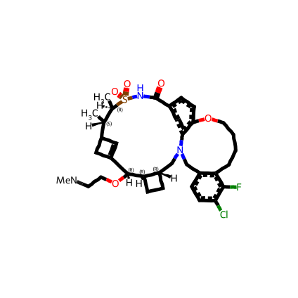 CNCCO[C@H]1C2=CC(C2)[C@H](C)[C@@H](C)S(=O)(=O)NC(=O)c2ccc3c(c2)N(Cc2ccc(Cl)c(F)c2CCCCO3)C[C@@H]2CC[C@H]21